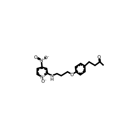 CC(=O)CCc1ccc(OCCCNc2cc([N+](=O)[O-])cc[n+]2[O-])cc1